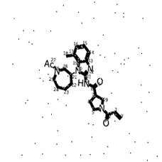 C=CC(=O)N1CCC(C(=O)Nc2nc3cccc(C)c3n2[C@@H]2CCCCN(C(C)=O)C2)C1